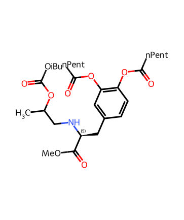 CCCCCC(=O)Oc1ccc(C[C@H](NCC(C)OC(=O)OCC(C)C)C(=O)OC)cc1OC(=O)CCCCC